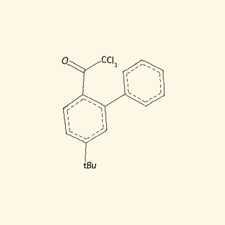 CC(C)(C)c1ccc(C(=O)C(Cl)(Cl)Cl)c(-c2ccccc2)c1